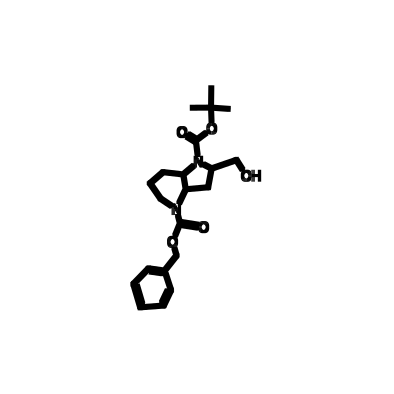 CC(C)(C)OC(=O)N1C(CO)CC2C1CCCN2C(=O)OCc1ccccc1